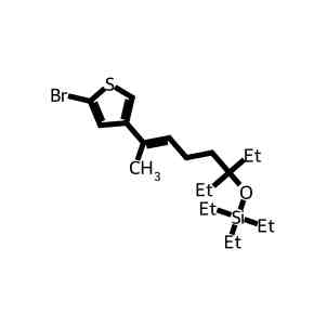 CCC(CC)(CCC=C(C)c1csc(Br)c1)O[Si](CC)(CC)CC